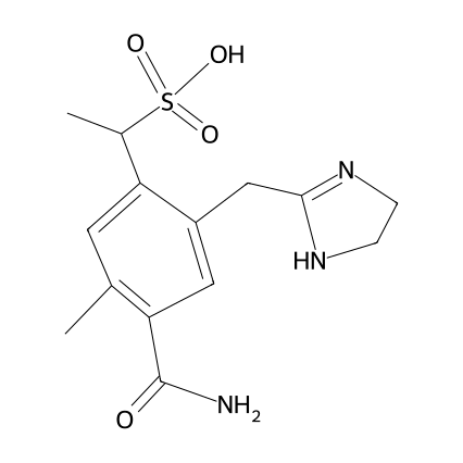 Cc1cc(C(C)S(=O)(=O)O)c(CC2=NCCN2)cc1C(N)=O